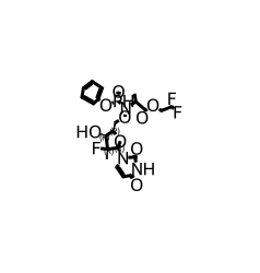 CC(C(=O)OCC(F)F)N(OC[C@H]1O[C@@H](n2ccc(=O)[nH]c2=O)[C@](C)(F)[C@@H]1O)[PH](=O)Oc1ccccc1